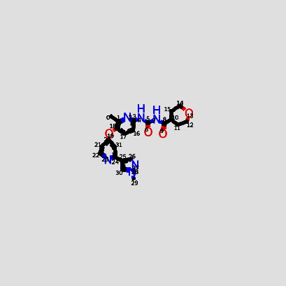 Cc1nc(NC(=O)NC(=O)C2CCOCC2)ccc1Oc1ccnc(-c2cnn(C)c2)c1